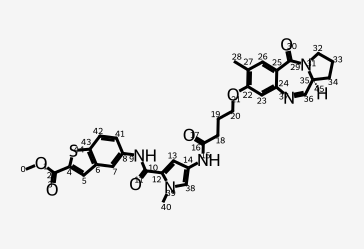 COC(=O)c1cc2cc(NC(=O)c3cc(NC(=O)CCCOc4cc5c(cc4C)C(=O)N4CCC[C@H]4C=N5)cn3C)ccc2s1